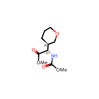 COC(=O)N[C@H](C(=O)OC)[C@H]1CCCOC1